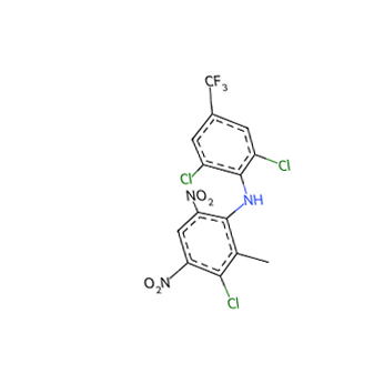 Cc1c(Cl)c([N+](=O)[O-])cc([N+](=O)[O-])c1Nc1c(Cl)cc(C(F)(F)F)cc1Cl